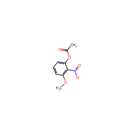 COc1cccc(OC(C)=O)c1[N+](=O)[O-]